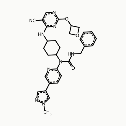 Cn1cc(-c2ccc(N(C(=O)NCc3ccccc3)C3CCC(Nc4nc(OC5COC5)ncc4C#N)CC3)nc2)cn1